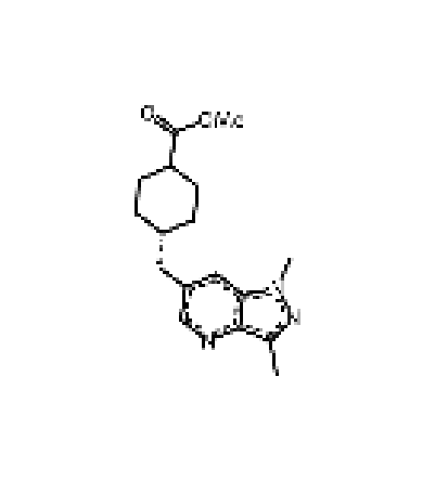 COC(=O)[C@H]1CC[C@H](Cc2cnc3c(C)nn(C)c3c2)CC1